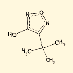 CC(C)(C)c1nonc1O